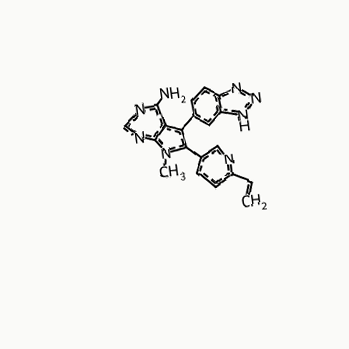 C=Cc1ccc(-c2c(-c3ccc4nn[nH]c4c3)c3c(N)ncnc3n2C)cn1